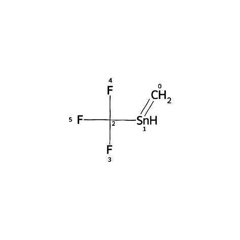 [CH2]=[SnH][C](F)(F)F